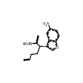 C=CCCC(C(=C)NC)c1coc2ccc(N)cc12